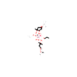 CCCO[Si](OC)(OC(C)(C)CCO[SiH](C)C)P(=O)([O-])[Si](OC)(OCCC)OC(C)(C)CCO[SiH](C)C.[Na+]